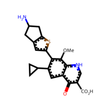 COc1c(-c2cc3c(s2)CC(N)C3)c(C2CC2)cc2c(=O)c(C(=O)O)c[nH]c12